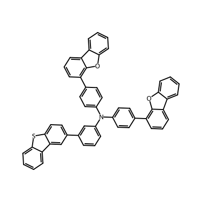 c1cc(-c2ccc3sc4ccccc4c3c2)cc(N(c2ccc(-c3cccc4c3oc3ccccc34)cc2)c2ccc(-c3cccc4c3oc3ccccc34)cc2)c1